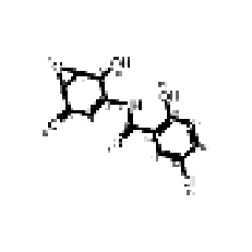 O=C(NC1=CC(=O)C2OC2C1O)c1cc(Cl)cnc1O